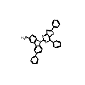 Bc1ccc2c(c1)c1cc(-c3ccccc3)ccc1n2-c1nc(-c2ccccc2)c2sc(-c3ccccc3)cc2n1